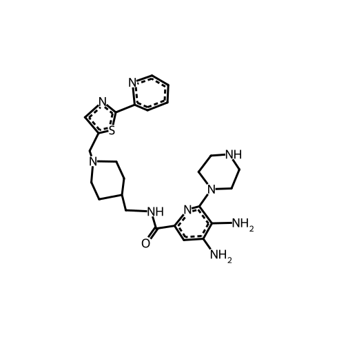 Nc1cc(C(=O)NCC2CCN(Cc3cnc(-c4ccccn4)s3)CC2)nc(N2CCNCC2)c1N